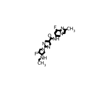 CCN[C@H]1CN(c2ncc(C(=O)Nc3cc(F)c4nc(C)cn4c3)cn2)C[C@H]1F